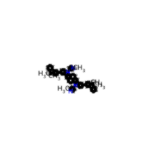 Cc1cc(-n2c3ccc(-c4ccc5c(c4)-c4ccccc4C5(C)C)cc3c3cc4c5c(c32)CCc2cc3c6cc(-c7ccc8c(c7)C7C=CC=CC7C8(C)C)ccc6n(-c6ccn(C)c6)c3c(c2-5)CC4)ccn1